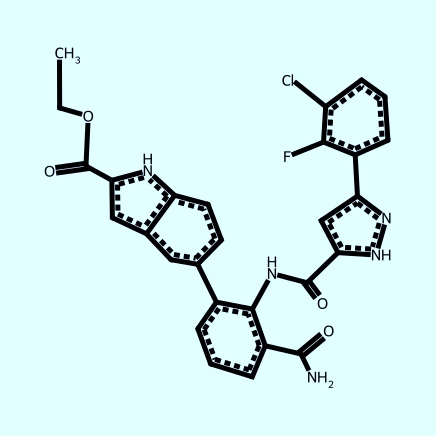 CCOC(=O)c1cc2cc(-c3cccc(C(N)=O)c3NC(=O)c3cc(-c4cccc(Cl)c4F)n[nH]3)ccc2[nH]1